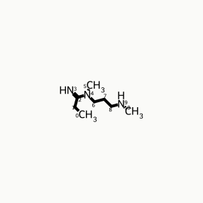 CCC(=N)N(C)CCCNC